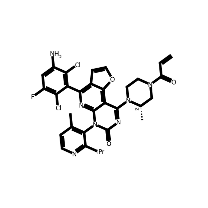 C=CC(=O)N1CCN(c2nc(=O)n(-c3c(C)ccnc3C(C)C)c3nc(-c4c(Cl)c(N)cc(F)c4Cl)c4ccoc4c23)[C@@H](C)C1